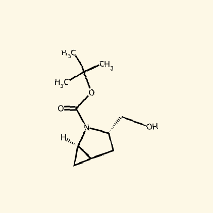 CC(C)(C)OC(=O)N1[C@H](CO)CC2C[C@H]21